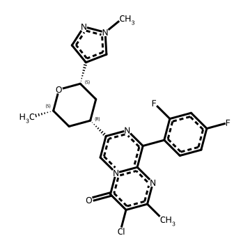 Cc1nc2c(-c3ccc(F)cc3F)nc([C@H]3C[C@@H](c4cnn(C)c4)O[C@@H](C)C3)cn2c(=O)c1Cl